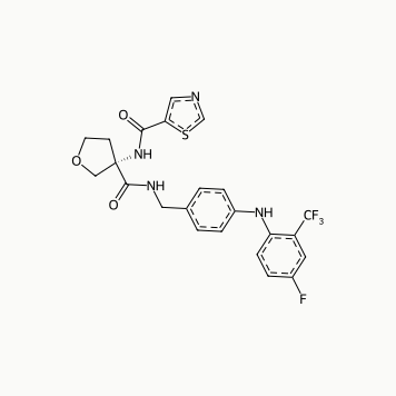 O=C(N[C@@]1(C(=O)NCc2ccc(Nc3ccc(F)cc3C(F)(F)F)cc2)CCOC1)c1cncs1